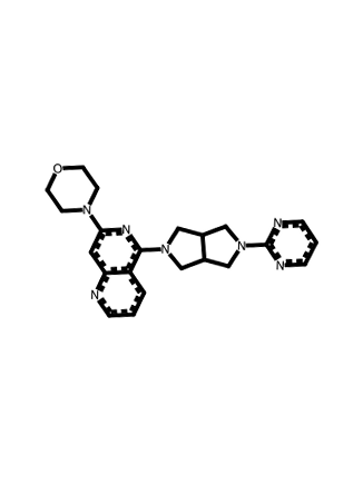 c1cnc(N2CC3CN(c4nc(N5CCOCC5)cc5ncccc45)CC3C2)nc1